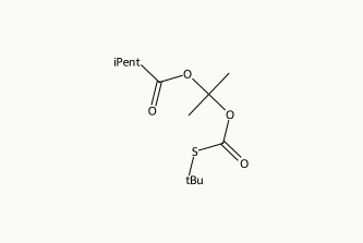 CCCC(C)C(=O)OC(C)(C)OC(=O)SC(C)(C)C